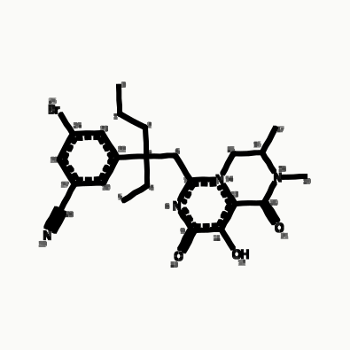 CCCC(CC)(Cc1nc(=O)c(O)c2n1CC(C)N(C)C2=O)c1cc(Br)cc(C#N)c1